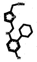 COCc1ccc(CNc2ccc(C(C)C)cc2C2CCCCC2)o1